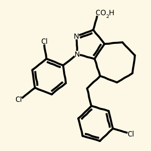 O=C(O)c1nn(-c2ccc(Cl)cc2Cl)c2c1CCCCC2Cc1cccc(Cl)c1